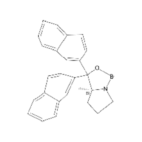 C[C@@]12CCCN1[B]OC2(c1ccc2ccccc2c1)c1ccc2ccccc2c1